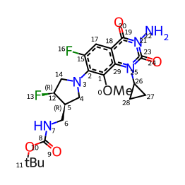 COc1c(N2C[C@@H](CNC(=O)OC(C)(C)C)[C@@H](F)C2)c(F)cc2c(=O)n(N)c(=O)n(C3CC3)c12